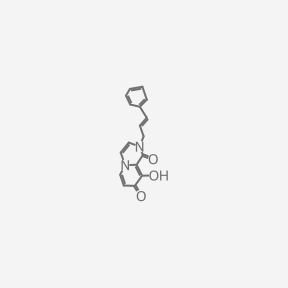 O=c1ccn2ccn(C/C=C/c3ccccc3)c(=O)c2c1O